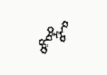 C/C(=N\C(=N/Cc1ccccc1)c1ccccc1)n1c2ccccc2c2cc(-c3cccc4c3oc3ccccc34)ccc21